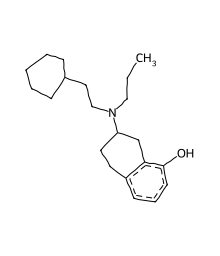 CCCN(CCC1CCCCC1)C1CCc2cccc(O)c2C1